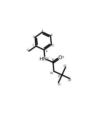 Cc1ccccc1NC(=O)CC(C)(C)C